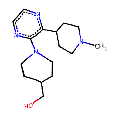 CN1CCC(c2nccnc2N2CCC(CO)CC2)CC1